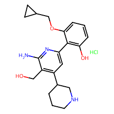 Cl.Nc1nc(-c2c(O)cccc2OCC2CC2)cc(C2CCCNC2)c1CO